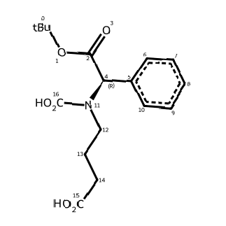 CC(C)(C)OC(=O)[C@@H](c1ccccc1)N(CCCC(=O)O)C(=O)O